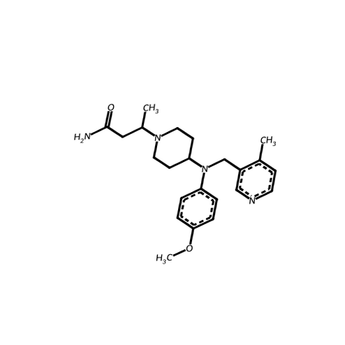 COc1ccc(N(Cc2cnccc2C)C2CCN(C(C)CC(N)=O)CC2)cc1